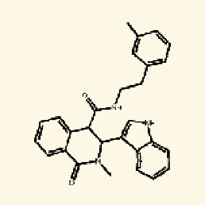 Cc1cccc(CCNC(=O)C2c3ccccc3C(=O)N(C)C2c2c[nH]c3ccccc23)c1